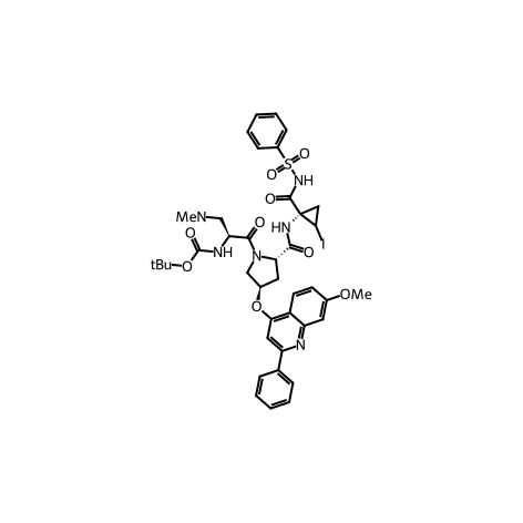 CNC[C@H](NC(=O)OC(C)(C)C)C(=O)N1C[C@H](Oc2cc(-c3ccccc3)nc3cc(OC)ccc23)C[C@H]1C(=O)N[C@]1(C(=O)NS(=O)(=O)c2ccccc2)CC1I